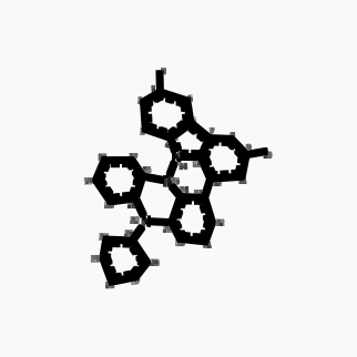 Cc1ccc2c(c1)c1cc(C)cc3c1n2B1c2ccccc2N(c2ccccc2)c2cccc-3c21